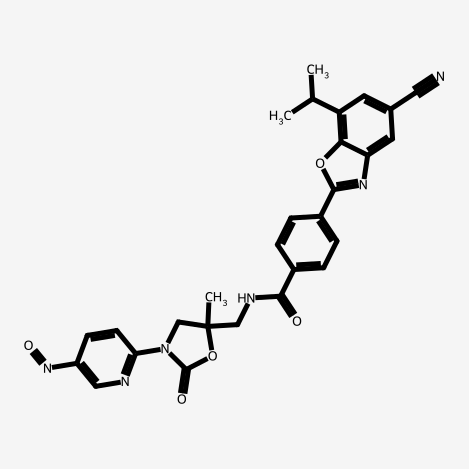 CC(C)c1cc(C#N)cc2nc(-c3ccc(C(=O)NCC4(C)CN(c5ccc(N=O)cn5)C(=O)O4)cc3)oc12